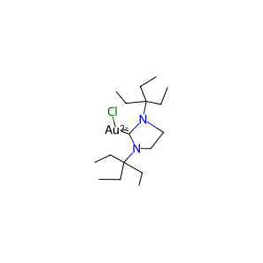 CCC(CC)(CC)N1CCN(C(CC)(CC)CC)[C]1=[Au-2][Cl]